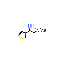 CNCC(N)c1ccsc1